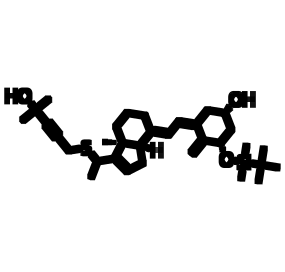 C=C1/C(=C\C=C2/CCC[C@]3(C)C(C(C)SCC#CC(C)(C)O)=CC[C@@H]23)C[C@@H](O)C[C@@H]1O[Si](C)(C)C(C)(C)C